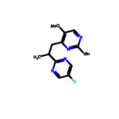 COc1cnc(C(C)(C)C)nc1CC(C)c1ncc(F)cn1